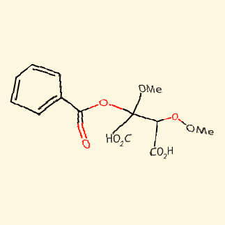 COOC(C(=O)O)C(OC)(OC(=O)c1ccccc1)C(=O)O